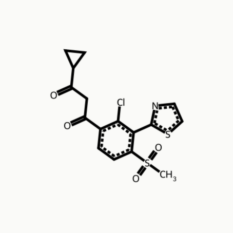 CS(=O)(=O)c1ccc(C(=O)CC(=O)C2CC2)c(Cl)c1-c1nccs1